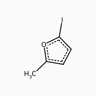 Cc1ccc(I)o1